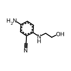 N#Cc1cc(N)ccc1NCCO